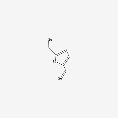 [Se]=Cc1ccc(C=[Se])[se]1